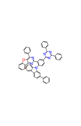 c1ccc(-c2ccc3c4ccccc4n(-c4ccc(-c5nc(-c6ccccc6)nc(-c6ccccc6)n5)cc4-c4nc(-c5ccccc5)c5oc6ccccc6c5n4)c3c2)cc1